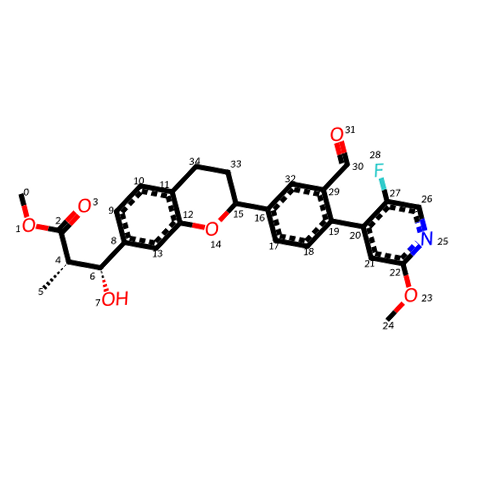 COC(=O)[C@@H](C)[C@@H](O)c1ccc2c(c1)OC(c1ccc(-c3cc(OC)ncc3F)c(C=O)c1)CC2